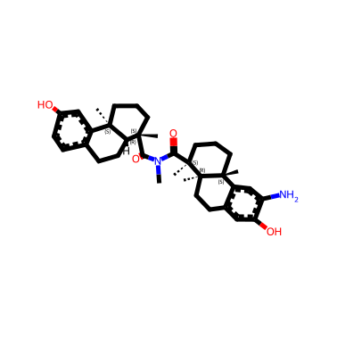 CN(C(=O)[C@@]1(C)CCC[C@]2(C)c3cc(O)ccc3CC[C@@H]12)C(=O)[C@@]1(C)CCC[C@]2(C)c3cc(N)c(O)cc3CC[C@@]12C